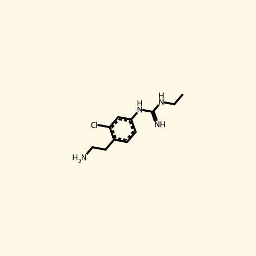 CCNC(=N)Nc1ccc(CCN)c(Cl)c1